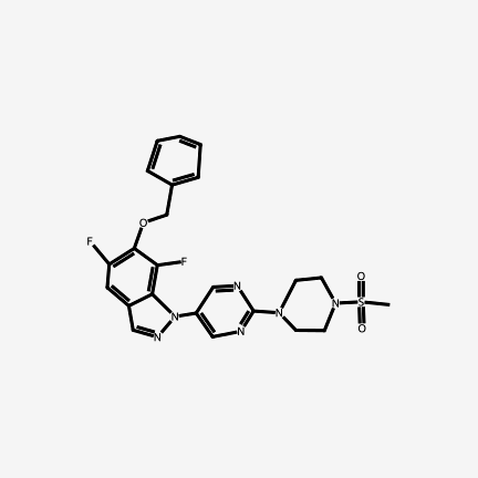 CS(=O)(=O)N1CCN(c2ncc(-n3ncc4cc(F)c(OCc5ccccc5)c(F)c43)cn2)CC1